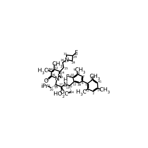 Cc1cc(C)c(-c2cc(C)c(F)c([C@H](CC(=O)O)NC(=O)[C@H](CC(C)C)n3nc(CCN4CC(F)C4)c(C)c(C)c3=O)c2)c(C)c1